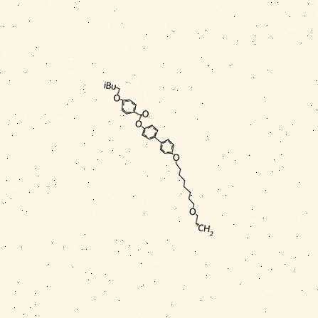 C=CCOCCCCCCCCOc1ccc(-c2ccc(OC(=O)c3ccc(OCC(C)CC)cc3)cc2)cc1